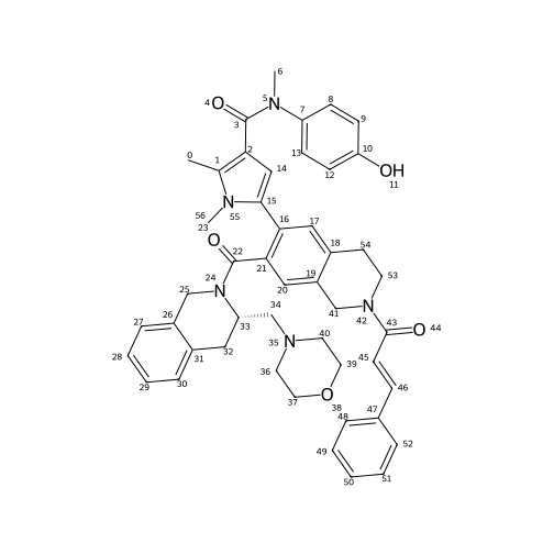 Cc1c(C(=O)N(C)c2ccc(O)cc2)cc(-c2cc3c(cc2C(=O)N2Cc4ccccc4C[C@H]2CN2CCOCC2)CN(C(=O)/C=C/c2ccccc2)CC3)n1C